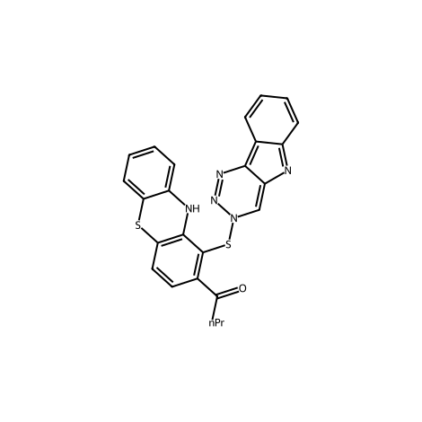 CCCC(=O)c1ccc2c(c1Sn1cc3nc4ccccc4c-3nn1)Nc1ccccc1S2